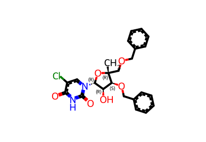 C[C@]1(COCc2ccccc2)O[C@@H](n2cc(Cl)c(=O)[nH]c2=O)[C@H](O)[C@@H]1OCc1ccccc1